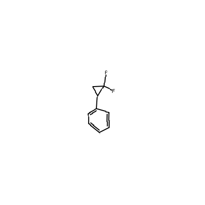 FC1(F)CC1c1cc[c]cc1